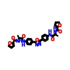 C[C@H](NC(=O)[C@H]1CCCO1)C(=O)Nc1ccc(-c2nnc(-c3ccc(NC(=O)[C@H](C)NC(=O)[C@H]4CCCO4)cc3)o2)cc1